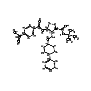 CC(C)(C)OC(=O)N1CC[C@H](OC(=O)c2ccc([N+](=O)[O-])cc2)[C@H]1CO[C@H]1CC[C@@H](c2ccccc2)CC1